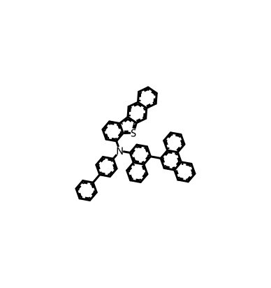 c1ccc(-c2ccc(N(c3ccc(-c4cc5ccccc5c5ccccc45)c4ccccc34)c3cccc4c3sc3cc5ccccc5cc34)cc2)cc1